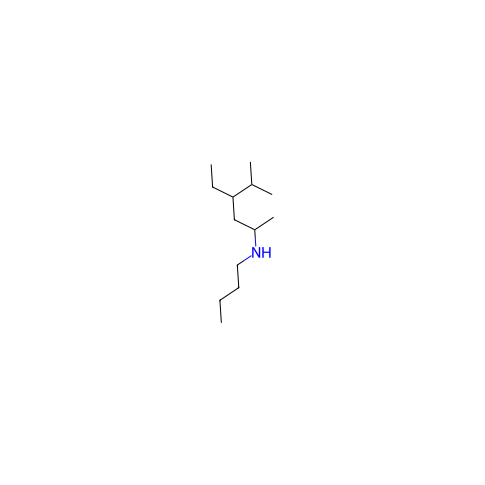 CCCCNC(C)CC(CC)C(C)C